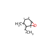 CCC1C(C)CCC2OC21